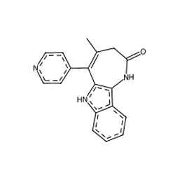 CC1=C(c2ccncc2)c2[nH]c3ccccc3c2NC(=O)C1